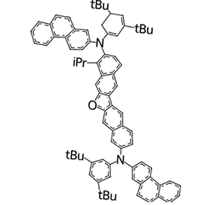 CC(C)c1c(N(C2=CC(C(C)(C)C)=CC(C(C)(C)C)C2)c2ccc3c(ccc4ccccc43)c2)ccc2cc3c(cc12)oc1cc2cc(N(c4cc(C(C)(C)C)cc(C(C)(C)C)c4)c4ccc5c(ccc6ccccc65)c4)ccc2cc13